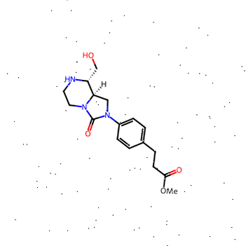 COC(=O)CCc1ccc(N2C[C@@H]3[C@@H](CO)NCCN3C2=O)cc1